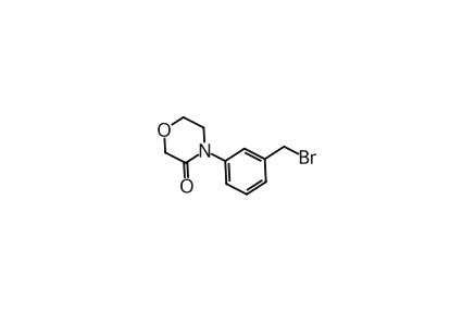 O=C1COCCN1c1cccc(CBr)c1